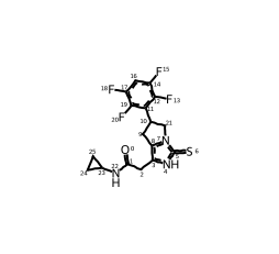 O=C(Cc1[nH]c(=S)n2c1CC(c1c(F)c(F)cc(F)c1F)C2)NC1CC1